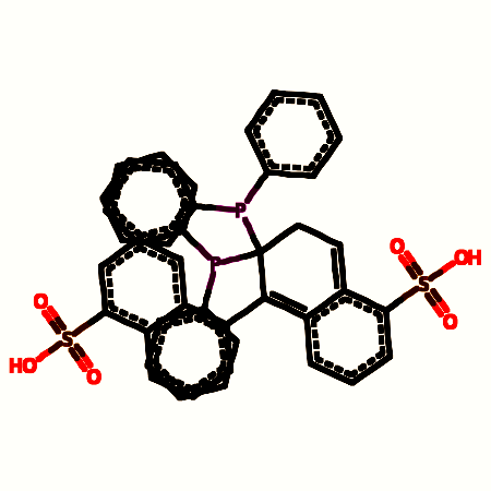 O=S(=O)(O)c1cccc2c1=CCC(P(c1ccccc1)c1ccccc1)(P(c1ccccc1)c1ccccc1)C=2c1cccc2c(S(=O)(=O)O)cccc12